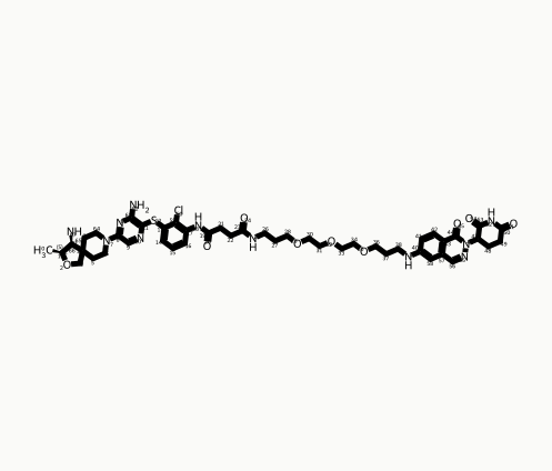 C[C@@H]1OCC2(CCN(c3cnc(Sc4cccc(NC(=O)CCC(=O)NCCCOCCOCCOCCCNc5ccc6c(=O)n(C7CCC(=O)NC7=O)ncc6c5)c4Cl)c(N)n3)CC2)[C@@H]1N